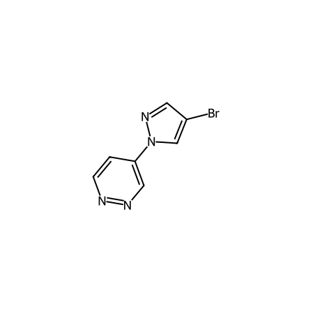 Brc1cnn(-c2ccnnc2)c1